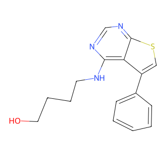 OCCCCNc1ncnc2scc(-c3ccccc3)c12